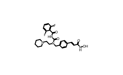 O=C(/C=C/c1ccc(CN(CCN2CCCCC2)C(=O)NC(=O)c2c(F)cccc2F)cc1)NO